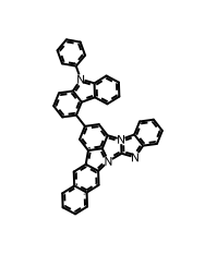 c1ccc(-n2c3ccccc3c3c(-c4cc5c6cc7ccccc7cc6n6c5c(c4)n4c5ccccc5nc46)cccc32)cc1